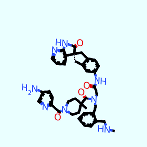 CNCc1ccccc1CN(CC(=O)Nc1ccc2c(c1)C[C@@]1(C2)C(=O)Nc2ncccc21)C(=O)C1(C)CCN(C(=O)c2ccc(N)cn2)CC1